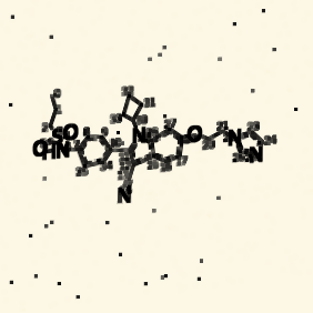 CCCS(=O)(=O)Nc1ccc(-c2c(C#N)c3ccc(OCCn4ccnc4)cc3n2C2CCC2)cc1